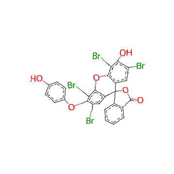 O=C1OC2(c3ccccc31)c1cc(Br)c(O)c(Br)c1Oc1c2cc(Br)c(Oc2ccc(O)cc2)c1Br